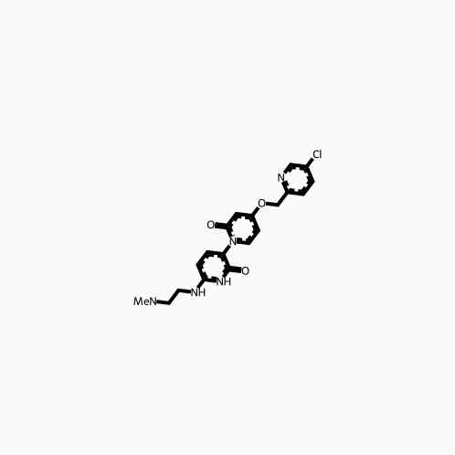 CNCCNc1ccc(-n2ccc(OCc3ccc(Cl)cn3)cc2=O)c(=O)[nH]1